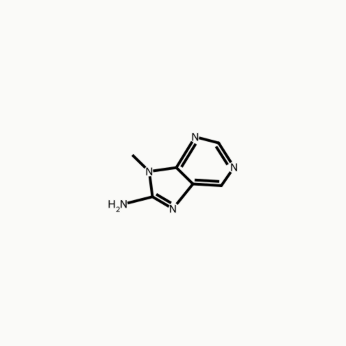 Cn1c(N)nc2cncnc21